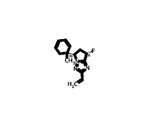 C=Cc1nc2n(n1)[C@H](C1(C)C=CC=CC1)C[C@@H]2F